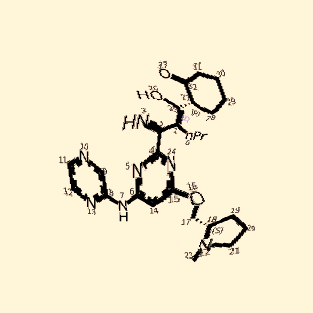 CCC/C(C(=N)c1nc(Nc2cnccn2)cc(OC[C@@H]2CCCN2C)n1)=C(/O)[C@H]1CCCCC1=O